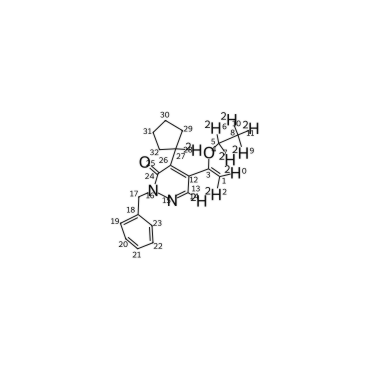 [2H]C([2H])=C(OC([2H])([2H])C([2H])([2H])[2H])c1c([2H])nn(Cc2ccccc2)c(=O)c1C1([2H])CCCC1